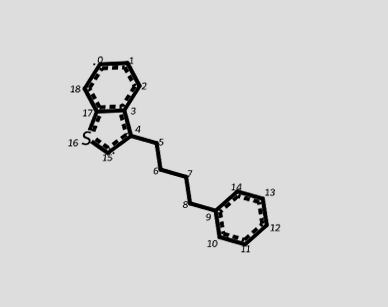 [c]1ccc2c(CCCCc3ccccc3)[c]sc2c1